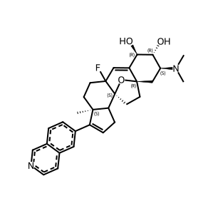 CN(C)[C@H]1C[C@@]23CC[C@]4(O2)C2CC=C(c5ccc6cnccc6c5)[C@@]2(C)CCC4(F)C=C3[C@@H](O)[C@@H]1O